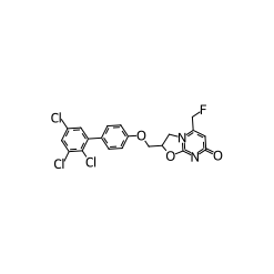 O=c1cc(CF)n2c(n1)OC(COc1ccc(-c3cc(Cl)cc(Cl)c3Cl)cc1)C2